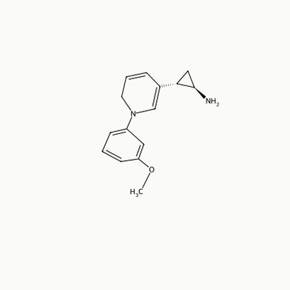 COc1cccc(N2C=C([C@@H]3C[C@H]3N)C=CC2)c1